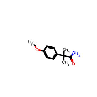 COc1ccc(C(C)(C)C(N)=O)cc1